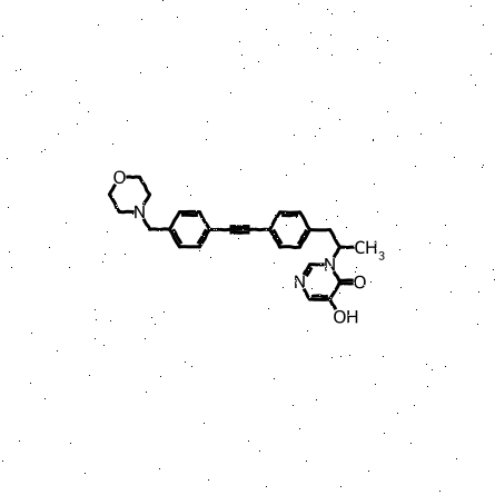 CC(Cc1ccc(C#Cc2ccc(CN3CCOCC3)cc2)cc1)n1cncc(O)c1=O